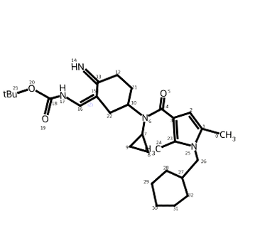 Cc1cc(C(=O)N(C2CC2)C2CCC(=N)/C(=C\NC(=O)OC(C)(C)C)C2)c(C)n1CC1CCCCC1